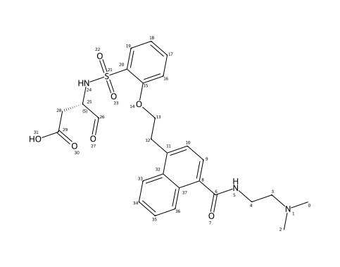 CN(C)CCNC(=O)c1ccc(CCOc2ccccc2S(=O)(=O)N[C@H](C=O)CC(=O)O)c2ccccc12